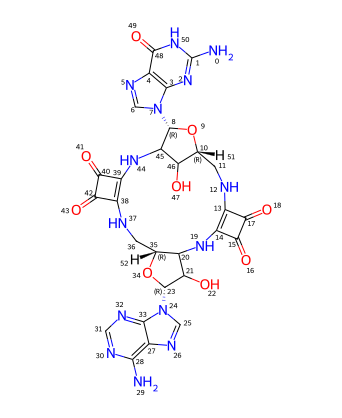 Nc1nc2c(ncn2[C@@H]2O[C@@H]3CNc4c(c(=O)c4=O)NC4C(O)[C@H](n5cnc6c(N)ncnc65)O[C@@H]4CNc4c(c(=O)c4=O)NC2C3O)c(=O)[nH]1